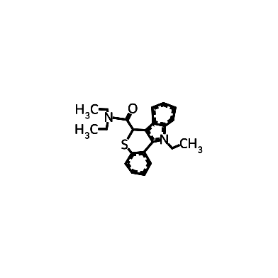 CCN(CC)C(=O)C1Sc2ccccc2-c2c1c1ccccc1n2CC